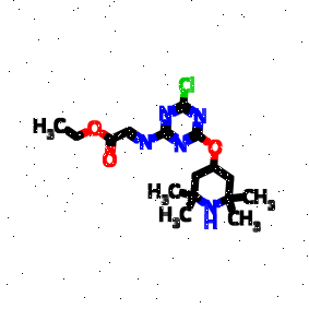 CCOC(=O)C=Nc1nc(Cl)nc(OC2CC(C)(C)NC(C)(C)C2)n1